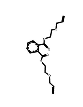 C=CCOCCOC(=O)c1ccccc1C(=O)OCCOCC=C